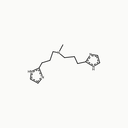 CN(CCCc1ncc[nH]1)CCCc1ncc[nH]1